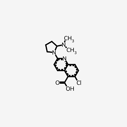 CN(C)C1CCCN1c1ccc2c(C(=O)O)c(Cl)ccc2n1